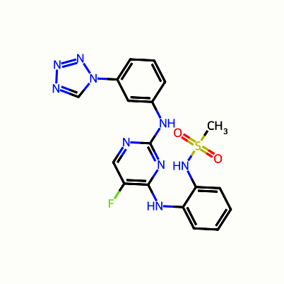 CS(=O)(=O)Nc1ccccc1Nc1nc(Nc2cccc(-n3cnnn3)c2)ncc1F